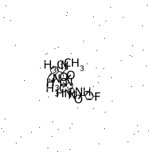 CN(C)CC(OC(=O)N1Cc2c(NC(=O)c3ccc(F)cc3)n[nH]c2C1(C)C)c1cccc2cccnc12